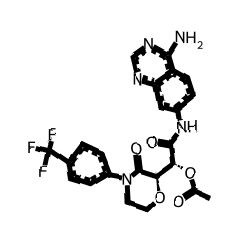 CC(=O)O[C@@H](C(=O)Nc1ccc2c(N)ncnc2c1)[C@H]1OCCN(c2ccc(C(F)(F)F)cc2)C1=O